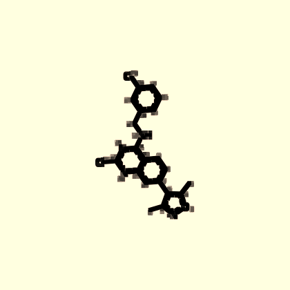 Cc1noc(C)c1-c1ccc2c(NCc3cccc(Cl)c3)nc(Cl)nc2c1